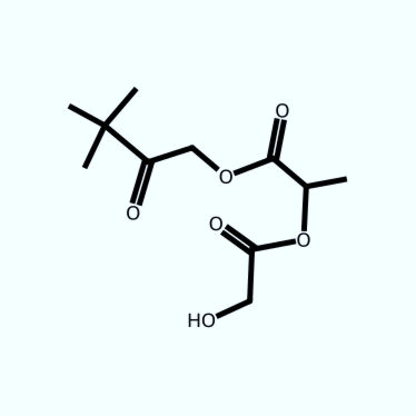 CC(OC(=O)CO)C(=O)OCC(=O)C(C)(C)C